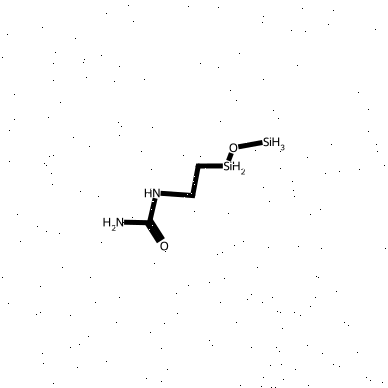 NC(=O)NCC[SiH2]O[SiH3]